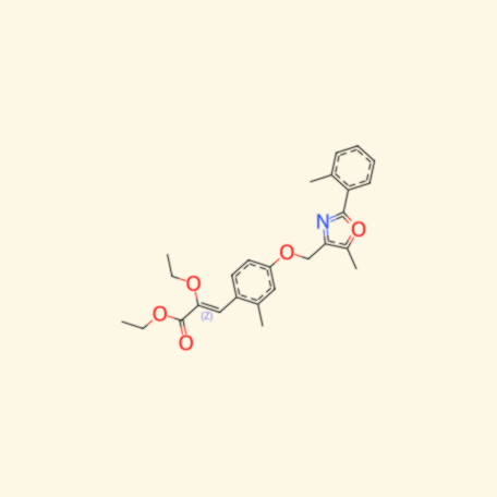 CCOC(=O)/C(=C/c1ccc(OCc2nc(-c3ccccc3C)oc2C)cc1C)OCC